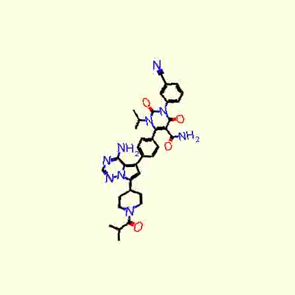 CC(C)C(=O)N1CCC(c2cc(-c3ccc(-c4c(C(N)=O)c(=O)n(-c5cccc(C#N)c5)c(=O)n4C(C)C)cc3)c3c(N)ncnn23)CC1